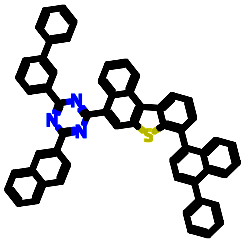 c1ccc(-c2cccc(-c3nc(-c4ccc5ccccc5c4)nc(-c4cc5sc6c(-c7ccc(-c8ccccc8)c8ccccc78)cccc6c5c5ccccc45)n3)c2)cc1